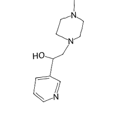 CN1CCN(CC(O)c2cccnc2)CC1